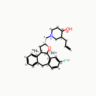 C=CCC1CN(C[C@H]2C[C@@H]3c4ccccc4Cc4ccc(F)cc4[C@@H]3O2)CCC1O